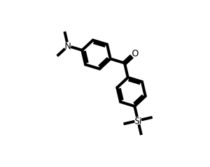 CN(C)c1ccc(C(=O)c2ccc([Si](C)(C)C)cc2)cc1